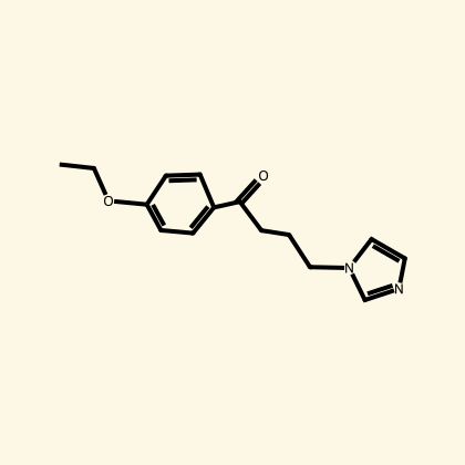 CCOc1ccc(C(=O)CCCn2ccnc2)cc1